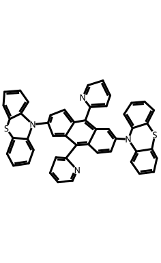 c1ccc(-c2c3ccc(N4c5ccccc5Sc5ccccc54)cc3c(-c3ccccn3)c3ccc(N4c5ccccc5Sc5ccccc54)cc23)nc1